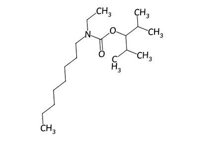 CCCCCCCCN(CC)C(=O)OC(C(C)C)C(C)C